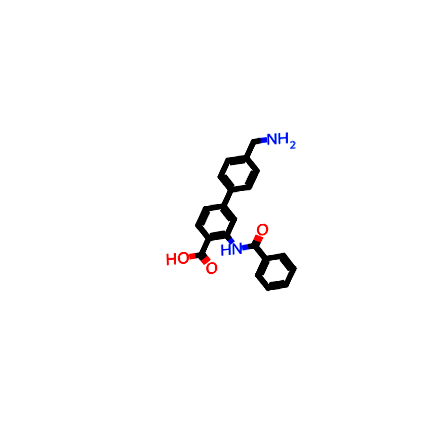 NCc1ccc(-c2ccc(C(=O)O)c(NC(=O)c3ccccc3)c2)cc1